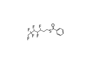 O=C(SCCC(F)C(F)C(F)C(F)(F)CF)c1ccccc1